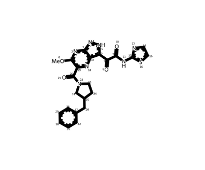 COc1nc2n[nH]c(C(=O)C(=O)Nc3nccs3)c2nc1C(=O)N1CCC(Cc2ccccc2)C1